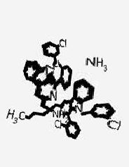 CCCCC(N)(Cc1cc2c3ccccc3n(Cc3cccc(Cl)c3)c2c(-c2ccccc2Cl)n1)Cc1cc2c3ccccc3n(Cc3cccc(Cl)c3)c2c(-c2ccccc2Cl)n1.N